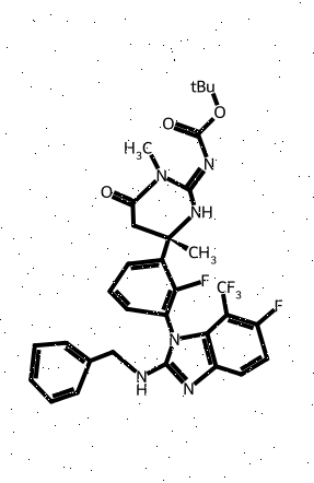 CN1C(=O)C[C@@](C)(c2cccc(-n3c(NCc4ccccc4)nc4ccc(F)c(C(F)(F)F)c43)c2F)N/C1=N/C(=O)OC(C)(C)C